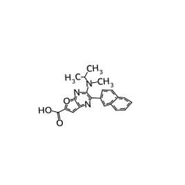 CC(C)N(C)c1nc2oc(C(=O)O)cc2nc1-c1ccc2ccccc2c1